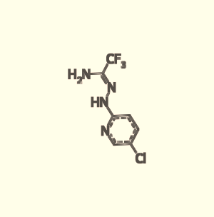 N/C(=N\Nc1ccc(Cl)cn1)C(F)(F)F